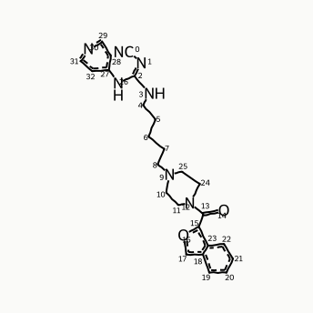 N#CN=C(NCCCCCN1CCN(C(=O)c2occ3ccccc23)CC1)Nc1ccncc1